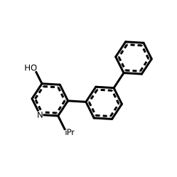 CC(C)c1ncc(O)cc1-c1cccc(-c2ccccc2)c1